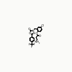 NCCC(=O)Oc1ccc(Cl)cc1Cn1nc(-c2ccc(C(F)(F)F)cc2)oc1=O